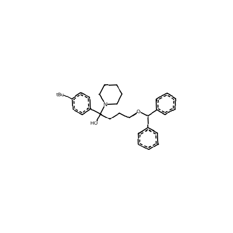 CC(C)(C)c1ccc(C(O)(CCCOC(c2ccccc2)c2ccccc2)N2CCCCC2)cc1